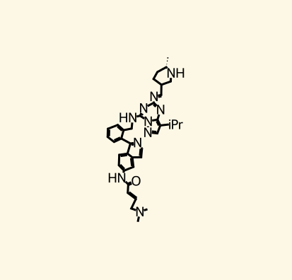 CC(C)c1cnn2c(NCc3ccccc3-c3nccc4cc(NC(=O)/C=C/CN(C)C)ccc34)nc(/N=C/C3CC[C@H](C)NC3)nc12